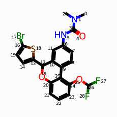 CN(C)C(=O)Nc1ccc2c(c1)C(c1ccc(Br)s1)Oc1cccc(OC(F)F)c1-2